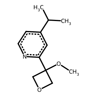 COC1(c2cc(C(C)C)ccn2)COC1